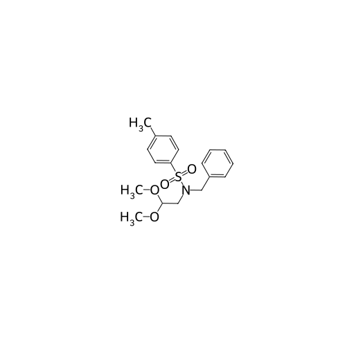 COC(CN(Cc1ccccc1)S(=O)(=O)c1ccc(C)cc1)OC